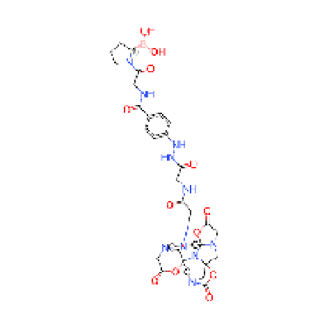 O=C(CN1CCN2CC(=O)OC3(C2)CN2CC4(CN5CC(=O)OC5(C1)N34)OC2=O)NCC(=O)NNc1ccc(C(=O)NCC(=O)N2CCC[C@H]2B(O)O)cc1